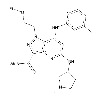 CCOCCn1nc(C(=O)NC)c2nc(NC3CCN(C)C3)nc(Nc3cc(C)ccn3)c21